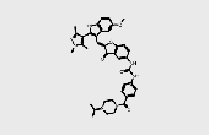 COc1ccc2[nH]c(-c3c(C)nn(C)c3C)c(/C=C3\Oc4ccc(NC(=O)Nc5ccc(C(=O)N6CCN(C(C)C)CC6)cc5)cc4C3=O)c2c1